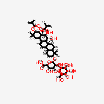 CC(C)C(=O)O[C@H]1[C@H](OC(=O)C(C)C)[C@@]2(CO)C(CC1(C)C)C1=CCC3[C@@]4(C)CC[C@H](O[C@@H]5OC(C(=O)O)[C@@H](O)[C@@H](O[C@@H]6OC[C@@H](O)[C@@H](O)C6O)C5O[C@@H]5OC(CO)[C@H](O)[C@@H](O)C5O)C(C)(C)C4CC[C@@]3(C)[C@]1(C)[C@@H](O)[C@H]2O